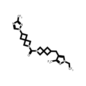 O=C(N1CC2(CC(Cc3cn(CC(F)(F)F)nc3C(F)(F)F)C2)C1)N1CC2(CC(n3cnc(C(F)(F)F)n3)C2)C1